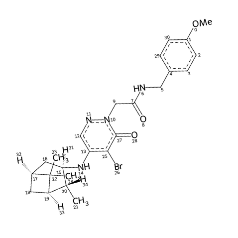 COc1ccc(CNC(=O)Cn2ncc(N[C@@H]3C[C@@H]4C[C@H]([C@H]3C)C4(C)C)c(Br)c2=O)cc1